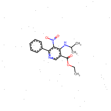 CCOC(=O)c1cnc(-c2ccccc2)c([N+](=O)[O-])c1NC(C)C